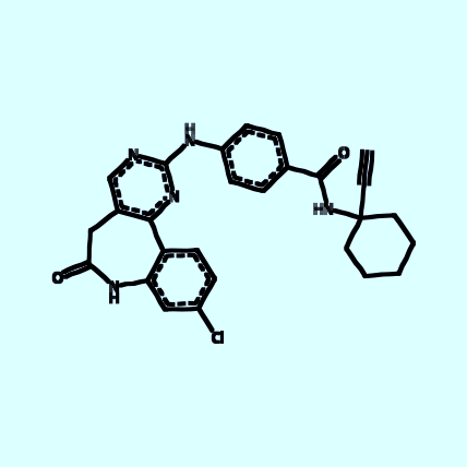 C#CC1(NC(=O)c2ccc(Nc3ncc4c(n3)-c3ccc(Cl)cc3NC(=O)C4)cc2)CCCCC1